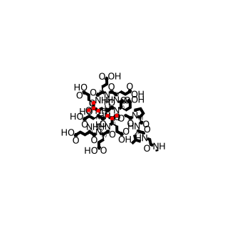 CNC(=O)CNC(=O)[C@H](CC(C)C)NC(=O)[C@@H]1CCCN1C(=O)COCCNC(=O)[C@@H](CCC(=O)O)NC(=O)[C@@H](CCC(=O)O)NC(=O)[C@@H](CCC(=O)O)NC(=O)[C@@H](CCC(=O)O)NC(=O)[C@@H](CCC(=O)O)NC(=O)[C@@H](CCC(=O)O)NC(=O)[C@@H](CCC(=O)O)NC(=O)[C@@H](CCC(=O)O)NC(=O)[C@H](N)CCC(=O)O